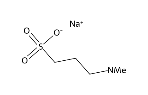 CNCCCS(=O)(=O)[O-].[Na+]